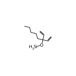 C=CC(C=C)(CCCCC)O[SiH3]